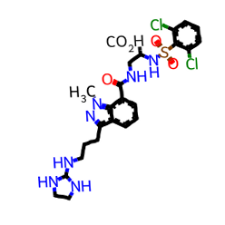 Cn1nc(CCCNC2NCCN2)c2cccc(C(=O)NCC(NS(=O)(=O)c3c(Cl)cccc3Cl)C(=O)O)c21